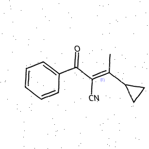 C/C(=C(/C#N)C(=O)c1ccccc1)C1CC1